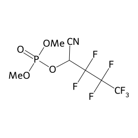 COP(=O)(OC)OC(C#N)C(F)(F)C(F)(F)C(F)(F)F